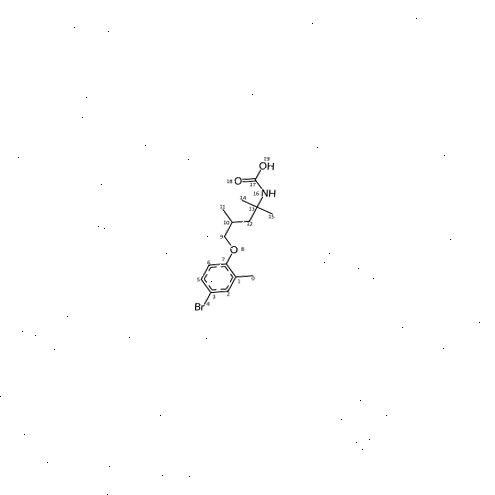 Cc1cc(Br)ccc1OCC(C)CC(C)(C)NC(=O)O